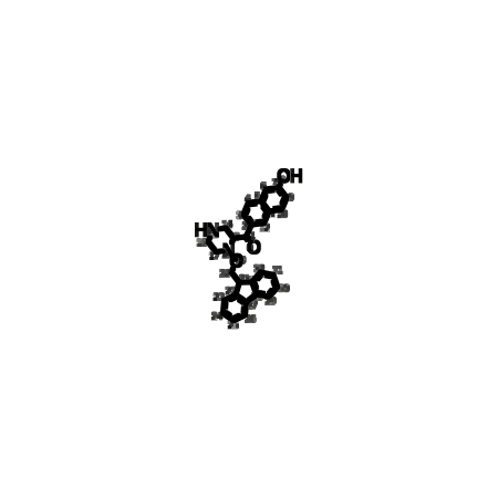 O=C(c1ccc2cc(O)ccc2c1)C1CNCCN1OCC1c2ccccc2-c2ccccc21